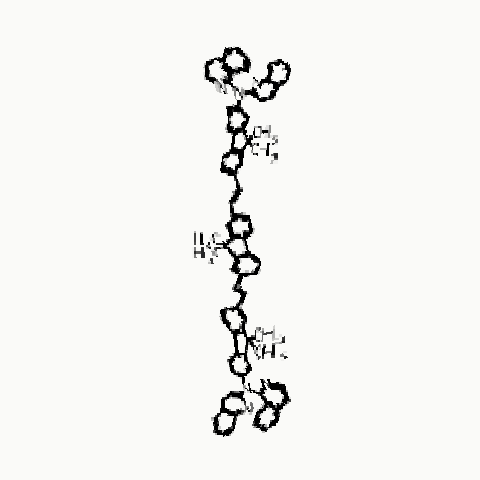 CC1(C)c2cc(/C=C/c3ccc4c(c3)C(C)(C)c3cc(N(C5=CCC6C=CC=CC6=N5)c5nccc6ccccc56)ccc3-4)ccc2-c2ccc(/C=C/c3ccc4c(c3)C(C)(C)c3cc(N(c5ccc6ccccc6n5)c5nccc6ccccc56)ccc3-4)cc21